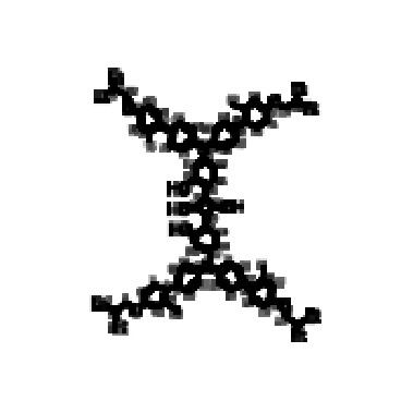 CCC(CC)COc1ccc(-c2ccc(N(c3ccc(-c4ccc(OCC(CC)CC)cc4C)cc3)c3ccc(C4C(O)C(c5ccc(N(c6ccc(-c7ccc(OCC(CC)CC)cc7C)cc6)c6ccc(-c7ccc(OCC(CC)CC)cc7C)cc6)cc5O)C4O)c(O)c3)cc2)c(C)c1